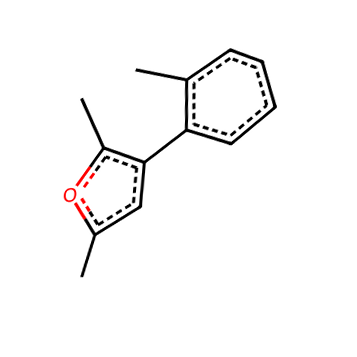 Cc1cc(-c2ccccc2C)c(C)o1